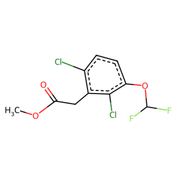 COC(=O)Cc1c(Cl)ccc(OC(F)F)c1Cl